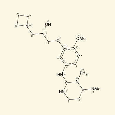 CNC1CCNC(Nc2ccc(OC)c(OC[C@@H](O)CN3CCC3)c2)N1C